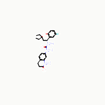 CCC1(CC)C[C@@H](NC(=O)Nc2ccc3c(c2)NC(=O)CC3)c2cc(F)ccc2O1